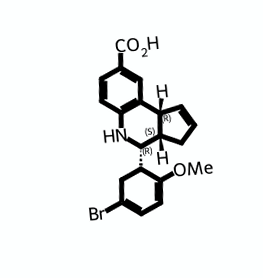 COC1=CC=C(Br)CC1[C@@H]1Nc2ccc(C(=O)O)cc2[C@@H]2C=CC[C@@H]21